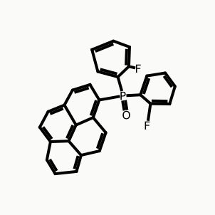 O=P(c1ccccc1F)(c1ccccc1F)c1ccc2ccc3cccc4ccc1c2c34